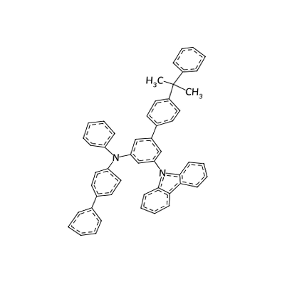 CC(C)(c1ccccc1)c1ccc(-c2cc(N(c3ccccc3)c3ccc(-c4ccccc4)cc3)cc(-n3c4ccccc4c4ccccc43)c2)cc1